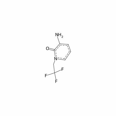 Nc1cccn(CC(F)(F)F)c1=O